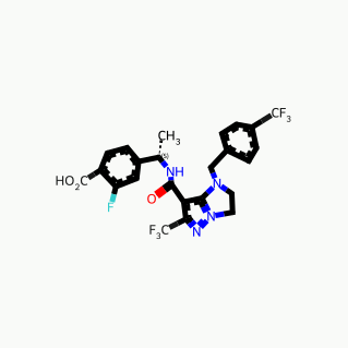 C[C@H](NC(=O)c1c(C(F)(F)F)nn2c1N(Cc1ccc(C(F)(F)F)cc1)CC2)c1ccc(C(=O)O)c(F)c1